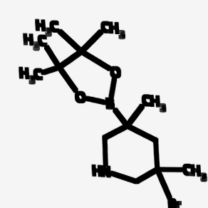 CC1(Br)CNCC(C)(B2OC(C)(C)C(C)(C)O2)C1